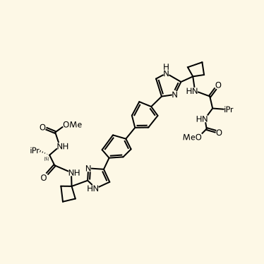 COC(=O)NC(C(=O)NC1(c2nc(-c3ccc(-c4ccc(-c5c[nH]c(C6(NC(=O)[C@@H](NC(=O)OC)C(C)C)CCC6)n5)cc4)cc3)c[nH]2)CCC1)C(C)C